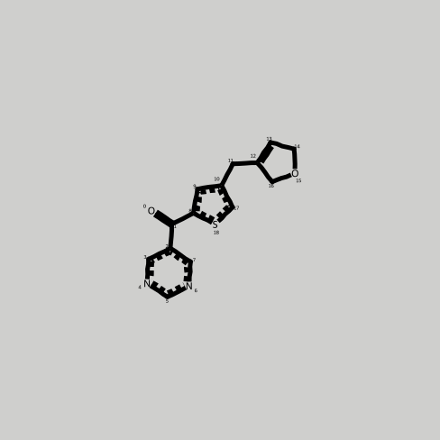 O=C(c1cncnc1)c1cc(CC2=CCOC2)cs1